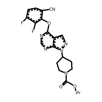 CC(C)OC(=O)N1CCC(n2ncc3c(Oc4c(C#N)ccc(F)c4F)ncnc32)CC1